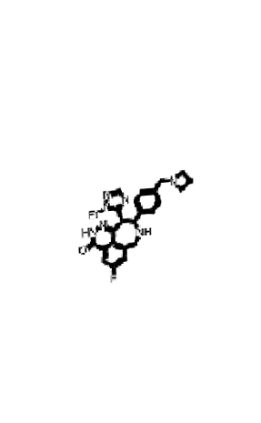 CCn1ncnc1C1c2n[nH]c(=O)c3cc(F)cc(c23)CNC1c1ccc(CN2CCC2)cc1